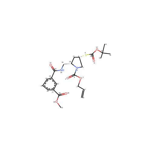 C=CCOC(=O)N1C[C@@H](SC(=O)OC(C)(C)C)C[C@H]1CNC(=O)c1cccc(C(=O)OC)c1